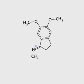 C/N=C1\CCc2cc(OC)c(OC)cc21